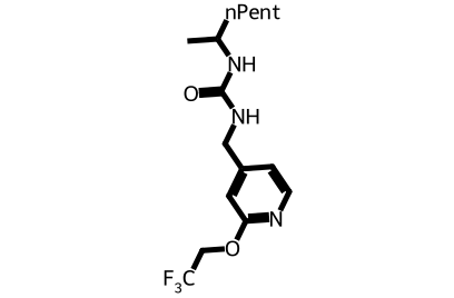 CCCCCC(C)NC(=O)NCc1ccnc(OCC(F)(F)F)c1